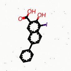 O=C(O)c1cc2cc(-c3ccccc3)ccc2c(I)c1O